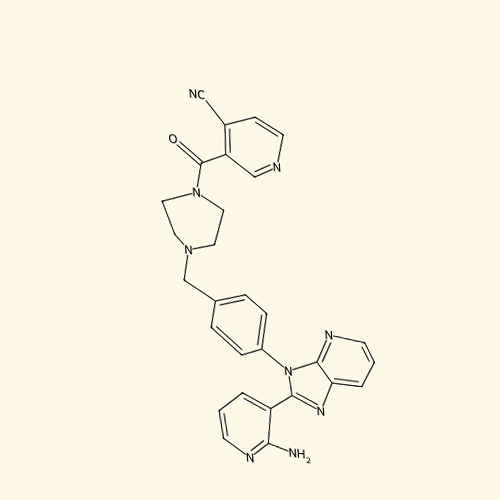 N#Cc1ccncc1C(=O)N1CCN(Cc2ccc(-n3c(-c4cccnc4N)nc4cccnc43)cc2)CC1